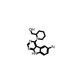 CC(=O)c1ccc2[nH]c3ncnc(N4CCCCC4CO)c3c2c1